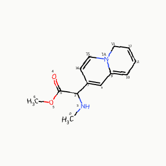 CNC(C(=O)OC)C1=CC2=CC=CCN2C=C1